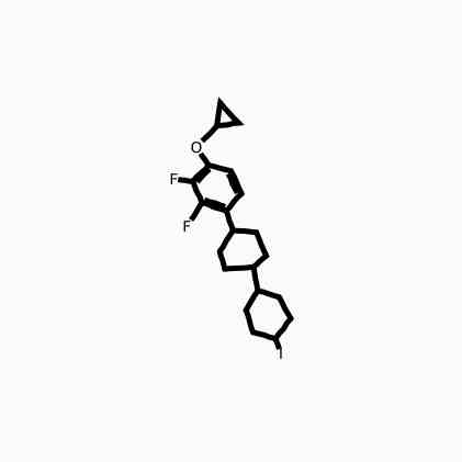 Fc1c(OC2CC2)ccc(C2CCC(C3CCC(I)CC3)CC2)c1F